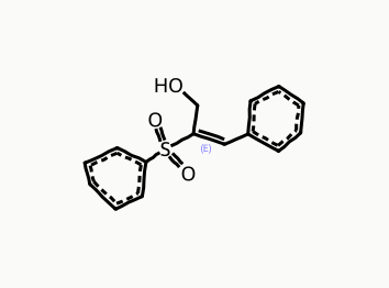 O=S(=O)(/C(=C/c1ccccc1)CO)c1ccccc1